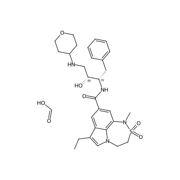 CCc1cn2c3c(cc(C(=O)N[C@@H](Cc4ccccc4)[C@H](O)CNC4CCOCC4)cc13)N(C)S(=O)(=O)CC2.O=CO